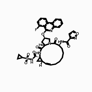 O=C(N[C@H]1CCCCC/C=C\[C@@H]2C[C@@]2(C(=O)NS(=O)(=O)C2CC2)NC(=O)[C@@H]2C[C@@H](Oc3nc4ccccc4c4cccc(F)c34)CN2C1=O)c1ccon1